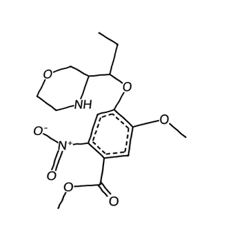 CCC(Oc1cc([N+](=O)[O-])c(C(=O)OC)cc1OC)C1COCCN1